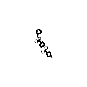 Cc1ccc(C(=O)Oc2ccc(C(=O)OCc3ccccc3)cc2)cc1